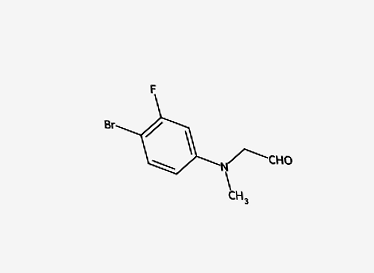 CN(CC=O)c1ccc(Br)c(F)c1